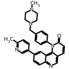 Cc1ccc(-c2ccc3ncc4ccc(=O)n(-c5ccc(CN6CCN(C)CC6)cc5)c4c3c2)cn1